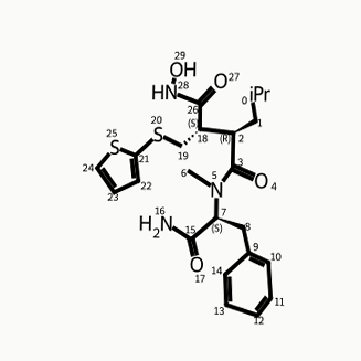 CC(C)C[C@@H](C(=O)N(C)[C@@H](Cc1ccccc1)C(N)=O)[C@H](CSc1cccs1)C(=O)NO